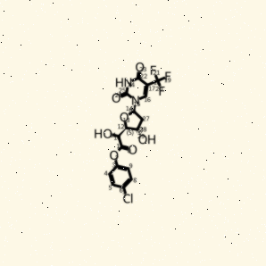 O=C(Oc1ccc(Cl)cc1)C(O)[C@H]1O[C@@H](n2cc(C(F)(F)F)c(=O)[nH]c2=O)C[C@@H]1O